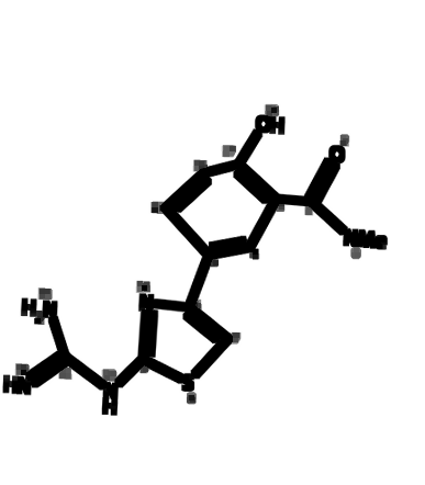 CNC(=O)c1cc(-c2csc(NC(=N)N)n2)ccc1O